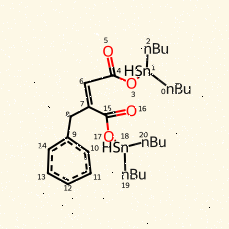 CCC[CH2][SnH]([CH2]CCC)[O]C(=O)/C=C(/Cc1ccccc1)C(=O)[O][SnH]([CH2]CCC)[CH2]CCC